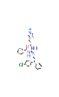 O=C(NC(=NCCC(c1ccccc1)c1ccc(Cl)cc1)NCCCc1c[nH]cn1)c1ccccc1